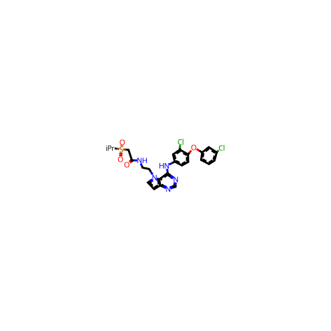 CC(C)S(=O)(=O)CC(=O)NCCn1ccc2ncnc(Nc3ccc(Oc4cccc(Cl)c4)c(Cl)c3)c21